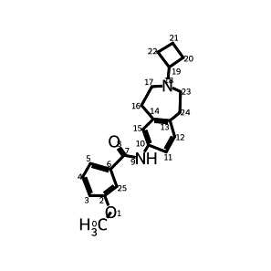 COc1cccc(C(=O)Nc2ccc3c(c2)CCN(C2CCC2)CC3)c1